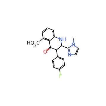 Cn1ccnc1C1Nc2cccc(C(=O)O)c2C(=O)C1c1ccc(F)cc1